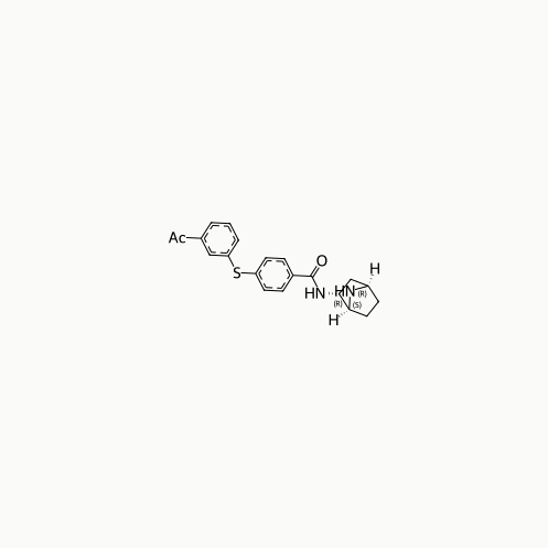 CC(=O)c1cccc(Sc2ccc(C(=O)N[C@@H]3C[C@H]4CC[C@@H]3N4)cc2)c1